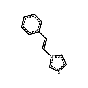 C(=C[n+]1ccsc1)c1ccccc1